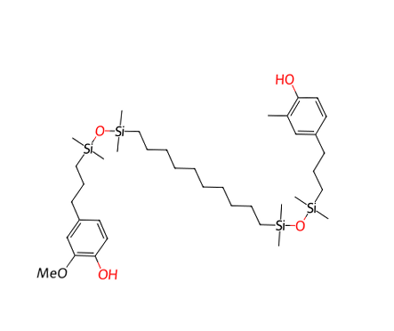 COc1cc(CCC[Si](C)(C)O[Si](C)(C)CCCCCCCCCC[Si](C)(C)O[Si](C)(C)CCCc2ccc(O)c(C)c2)ccc1O